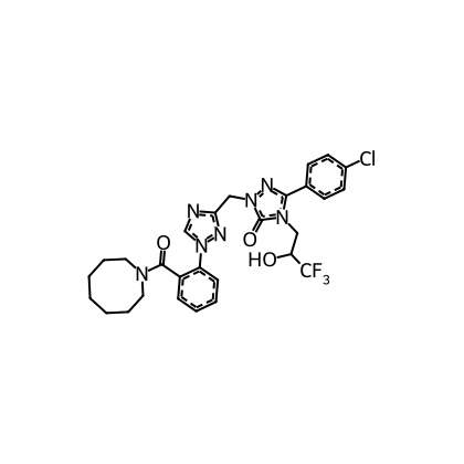 O=C(c1ccccc1-n1cnc(Cn2nc(-c3ccc(Cl)cc3)n(CC(O)C(F)(F)F)c2=O)n1)N1CCCCCCC1